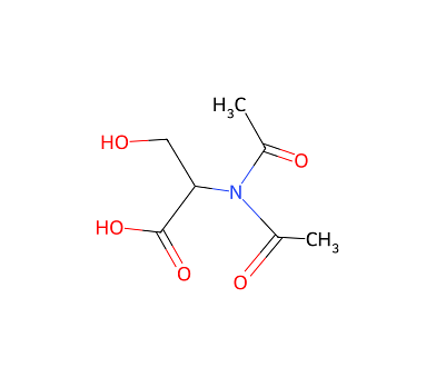 CC(=O)N(C(C)=O)C(CO)C(=O)O